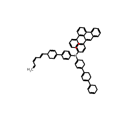 C=C/C=C\C=C\C1C=CC(c2ccc(N(C3=CC=C(C4=CC=C(C5=CC=CCC5)CC4)CC3)c3ccc(-c4cc5ccccc5c5cccc(-c6ccccc6)c45)cc3)cc2)=CC1